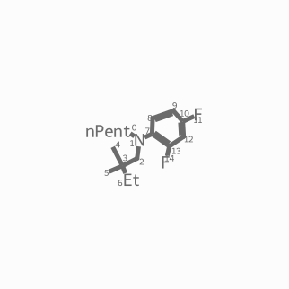 CCCCCN(CC(C)(C)CC)c1ccc(F)cc1F